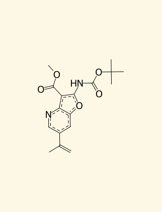 C=C(C)c1cnc2c(C(=O)OC)c(NC(=O)OC(C)(C)C)oc2c1